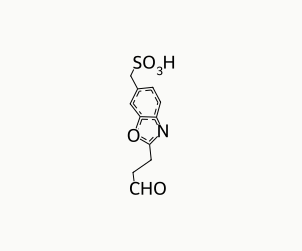 O=CCCc1nc2ccc(CS(=O)(=O)O)cc2o1